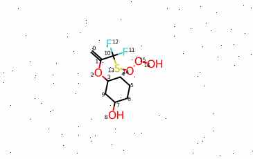 C=C(OC1CCCC(O)C1)C(F)(F)SOOO